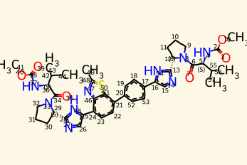 COC(=O)N[C@H](C(=O)N1CCC[C@H]1c1ncc(-c2ccc(-c3ccc(-c4cnc([C@@H]5CCCN5C(=O)[C@@H](NC(=O)OC)C(C)C)[nH]4)c4nc(C)sc34)cc2)[nH]1)C(C)C